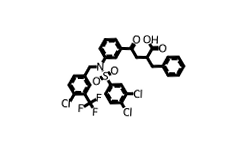 O=C(CC(Cc1ccccc1)C(=O)O)c1cccc(N(Cc2ccc(Cl)c(C(F)(F)F)c2)S(=O)(=O)c2ccc(Cl)c(Cl)c2)c1